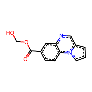 O=C(OCO)c1ccc2c(c1)ncc1cccn12